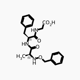 C[C@H](NOCc1ccccc1)C(=O)N[C@@H](Cc1ccccc1)C(=O)NCC(=O)O